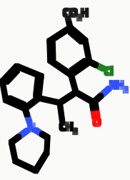 CC(c1ccccc1N1CCCCC1)C(C(N)=O)c1ccc(C(=O)O)cc1Cl